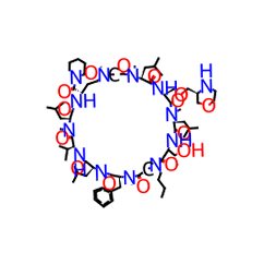 CCCCN1CC(=O)N(C)[C@@H](Cc2ccccc2)C(=O)N(C)[C@@H](CC(C)C)C(=O)N[C@@H](C(C)C)C(=O)N(C)[C@@H](CC(C)C)C(=O)N[C@H](C(=O)N2CCCCC2)CC(=O)N(C)CC(=O)N(C)[C@@H](CC(C)C)C(=O)N[C@@H](COC[C@@H]2COCCN2)C(=O)N(C)[C@@H](CC(C)C)C(=O)N[C@@H]([C@@H](C)O)C1=O